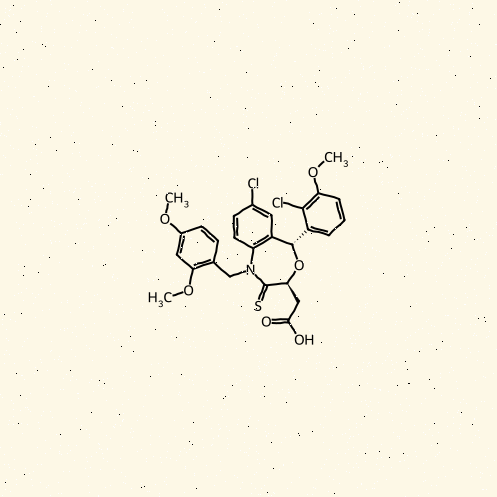 COc1ccc(CN2C(=S)[C@H](CC(=O)O)O[C@@H](c3cccc(OC)c3Cl)c3cc(Cl)ccc32)c(OC)c1